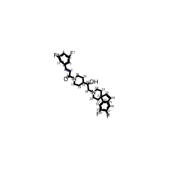 O=C(/C=C/c1cc(F)cc(F)c1)N1CCC(C(O)CN2CCC3(C=Cc4cc(F)c(F)cc43)CC2)CC1